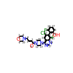 O=C(/C=C/CN1CCOCC1)N1CCN(c2ncnc3c(F)c(-c4c(O)cccc4F)c(Cl)cc23)CC1